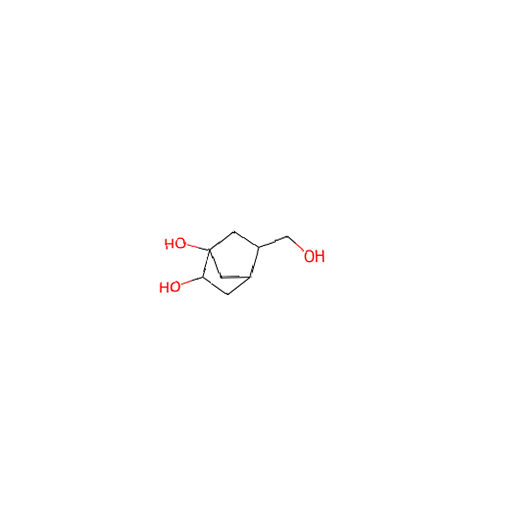 OCC1CC2(O)CC1CC2O